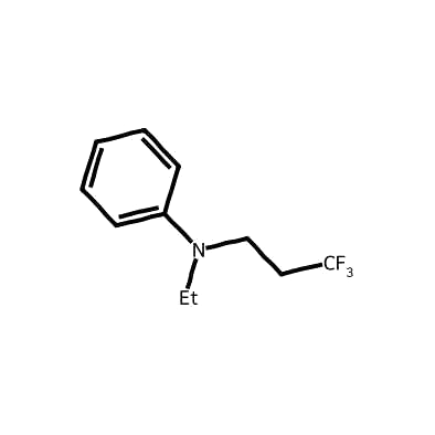 CCN(CCC(F)(F)F)c1ccccc1